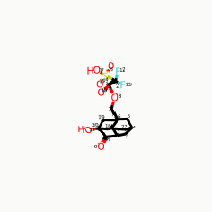 O=C1C2CC3CC(COC(=O)C(F)(F)S(=O)(=O)O)(C2)CC1(O)C3